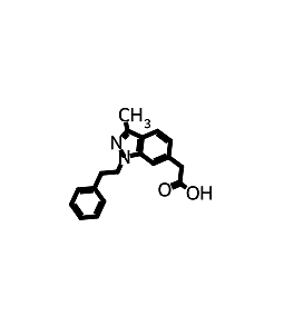 Cc1nn(CCc2ccccc2)c2cc(CC(=O)O)ccc12